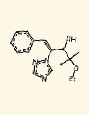 CCOC(C)(C)C(O)C(=Cc1ccccc1)n1cncn1